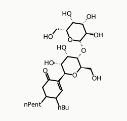 CCCCCC1CC(=O)C([C@@H]2O[C@H](CO)[C@@H](O[C@@H]3O[C@H](CO)[C@H](O)[C@H](O)[C@H]3O)[C@@H](O)[C@H]2O)=CC1CCCC